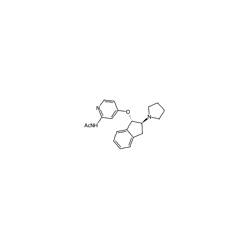 CC(=O)Nc1cc(O[C@H]2c3ccccc3C[C@@H]2N2CCCC2)ccn1